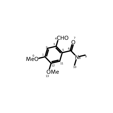 COc1cc(C=O)c(C(=O)N(C)C)cc1OC